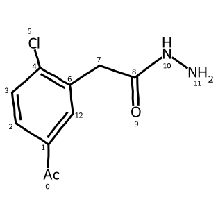 CC(=O)c1ccc(Cl)c(CC(=O)NN)c1